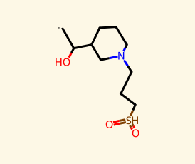 [CH2]C(O)C1CCCN(CCC[SH](=O)=O)C1